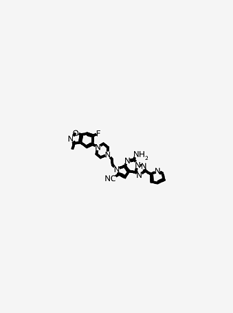 Cc1noc2cc(F)c(N3CCN(CCn4c(C#N)cc5c4nc(N)n4nc(-c6ccccn6)nc54)CC3)cc12